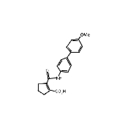 COc1ccc(-c2ccc(NC(=O)C3=C(C(=O)O)CCC3)cc2)cc1